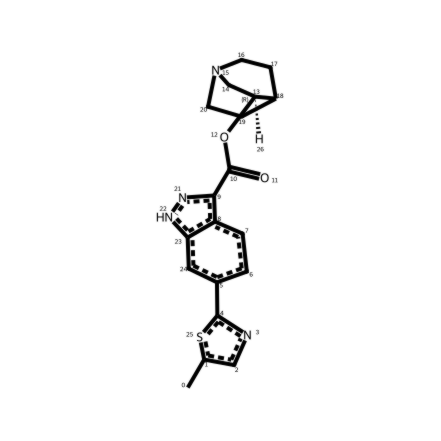 Cc1cnc(-c2ccc3c(C(=O)O[C@H]4CN5CCC4CC5)n[nH]c3c2)s1